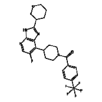 O=C(c1ccc(S(F)(F)(F)(F)F)cc1)N1CCC(c2c(F)cnc3[nH]c(C4CCCOC4)nc23)CC1